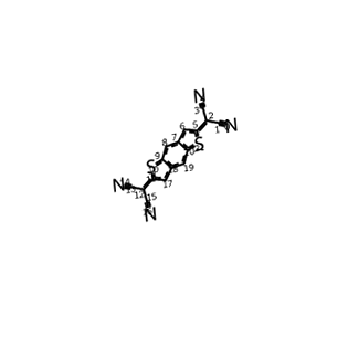 N#CC(C#N)=c1cc2cc3sc(=C(C#N)C#N)cc3cc2s1